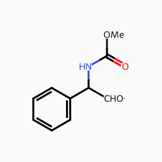 COC(=O)NC([C]=O)c1ccccc1